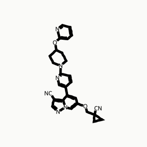 N#Cc1cnn2cc(OCC3(C#N)CC3)cc(-c3ccc(N4CCC(Oc5ccccn5)CC4)nc3)c12